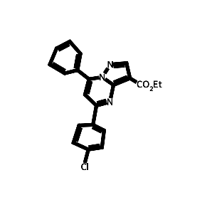 CCOC(=O)c1cnn2c(-c3ccccc3)cc(-c3ccc(Cl)cc3)nc12